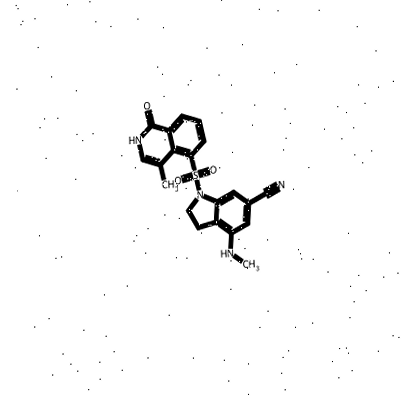 CNc1cc(C#N)cc2c1CCN2S(=O)(=O)c1cccc2c(=O)[nH]cc(C)c12